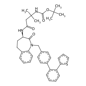 CC(C)(CC(=O)N[C@@H]1CCc2ccccc2N(Cc2ccc(-c3ccccc3-c3cccs3)cc2)C1=O)NC(=O)OC(C)(C)C